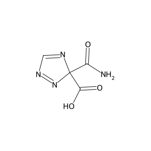 NC(=O)C1(C(=O)O)N=CN=N1